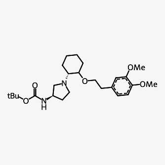 COc1ccc(CCOC2CCCC[C@H]2N2CC[C@@H](NC(=O)OC(C)(C)C)C2)cc1OC